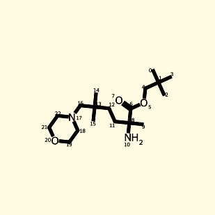 CC(C)(C)COC(=O)C(C)(N)CCC(C)(C)CN1CCOCC1